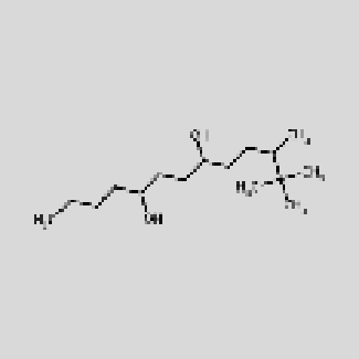 CCCCC(O)CCC(O)CCC(C)C(C)(C)C